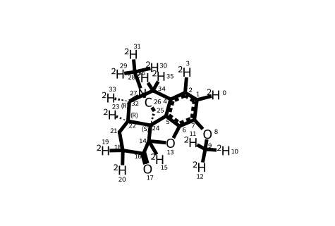 [2H]c1c([2H])c2c3c(c1OC([2H])([2H])[2H])OC1([2H])C(=O)C([2H])([2H])C[C@]4([2H])[C@@]31CCN(C([2H])([2H])[2H])[C@]4([2H])C2([2H])[2H]